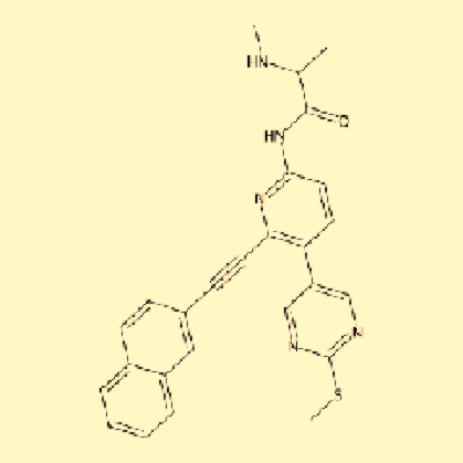 CNC(C)C(=O)Nc1ccc(-c2cnc(SC)nc2)c(C#Cc2ccc3ccccc3c2)n1